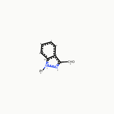 CC(C)n1nc(C=O)c2ccccc21